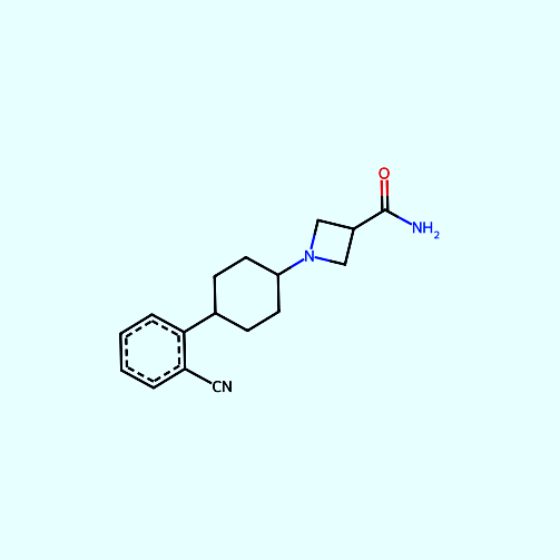 N#Cc1ccccc1C1CCC(N2CC(C(N)=O)C2)CC1